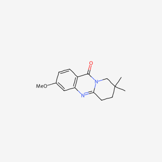 COc1ccc2c(=O)n3c(nc2c1)CCC(C)(C)C3